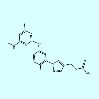 CNc1cc(C)nc(Nc2ccc(C)c(-n3cc(COC(N)=O)cn3)c2)n1